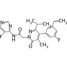 C=Cc1cc(F)cc(-c2c(C(C)C)nn(CC(=O)Nc3ncncc3F)c(=O)c2C)c1